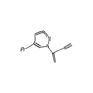 C#CC(=C)N1C=C(C(C)C)C=C=N1